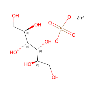 O=S(=O)([O-])[O-].OC[C@@H](O)[C@@H](O)[C@H](O)[C@H](O)CO.[Zn+2]